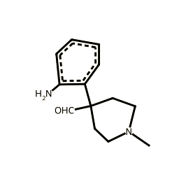 CN1CCC(C=O)(c2ccccc2N)CC1